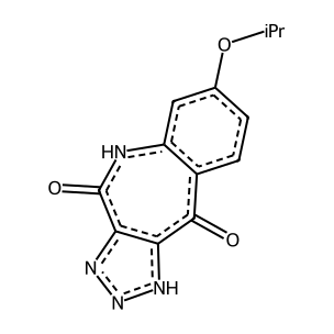 CC(C)Oc1ccc2c(=O)c3[nH]nnc3c(=O)[nH]c2c1